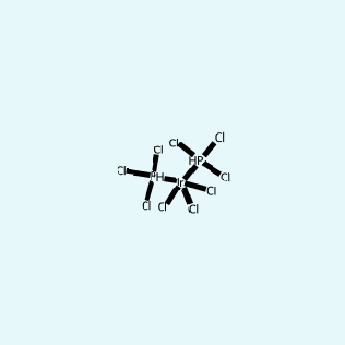 Cl[PH](Cl)(Cl)[Ir]([Cl])([Cl])([Cl])[PH](Cl)(Cl)Cl